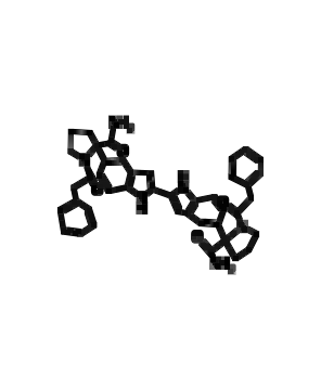 NC(=O)C1(c2ccc3[nH]c(-c4cc5cc(C6(C(N)=O)CCCN6C(=O)Cc6ccccc6)ccc5[nH]4)cc3c2)CCCN1C(=O)Cc1ccccc1